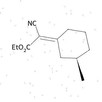 CCOC(=O)/C(C#N)=C1/CCC[C@@H](C)C1